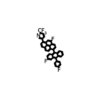 Fc1ccc(-c2c3ccccc3c(-c3ccc4c(F)cc5c(-c6ccc(C(F)(F)F)nc6)ccc6ccc3c4c65)c3ccc(F)cc23)cc1